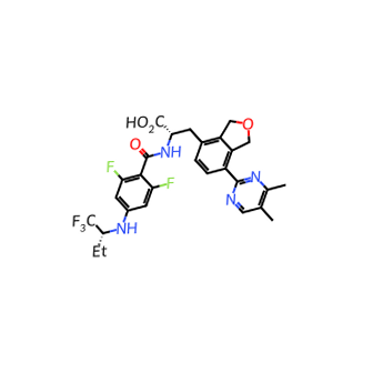 CC[C@@H](Nc1cc(F)c(C(=O)N[C@@H](Cc2ccc(-c3ncc(C)c(C)n3)c3c2COC3)C(=O)O)c(F)c1)C(F)(F)F